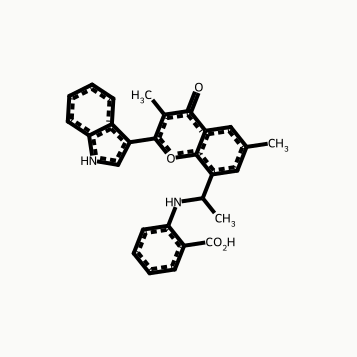 Cc1cc(C(C)Nc2ccccc2C(=O)O)c2oc(-c3c[nH]c4ccccc34)c(C)c(=O)c2c1